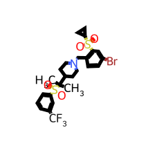 CC(C)(C1CCN(Cc2ccc(Br)cc2S(=O)(=O)C2CC2)CC1)S(=O)(=O)c1cccc(C(F)(F)F)c1